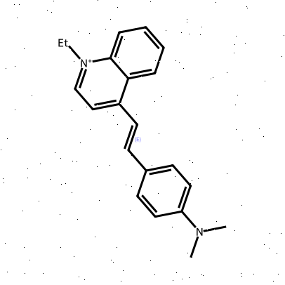 CC[n+]1ccc(/C=C/c2ccc(N(C)C)cc2)c2ccccc21